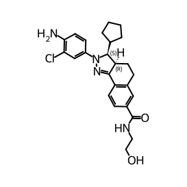 Nc1ccc(N2N=C3c4ccc(C(=O)NCCO)cc4CC[C@@H]3[C@@H]2C2CCCC2)cc1Cl